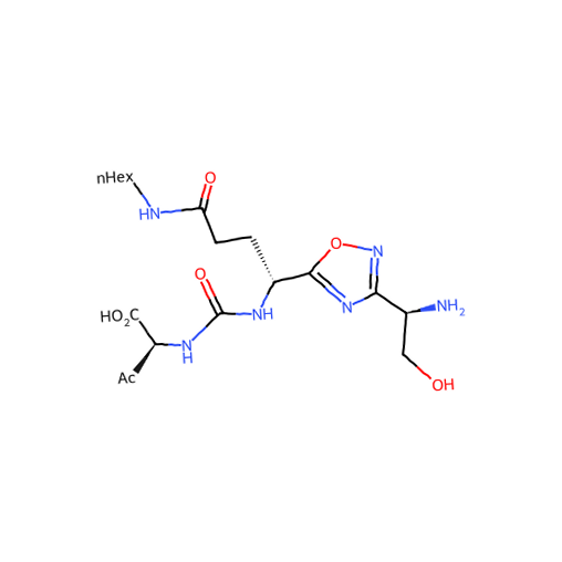 CCCCCCNC(=O)CC[C@@H](NC(=O)N[C@@H](C(C)=O)C(=O)O)c1nc([C@@H](N)CO)no1